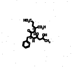 CC(O)CC(=O)N[C@@H](Cc1ccccc1)C(=O)N[C@@H](CCC(=O)O)C(=O)O